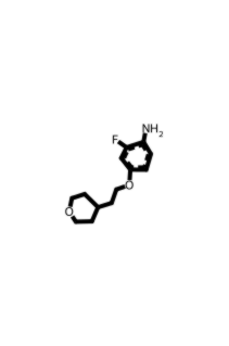 Nc1ccc(OCCC2CCOCC2)cc1F